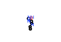 O=C1NCCCn2nc3c(c21)CCc1cnc(-c2ccc4ccccc4c2)cc1-3